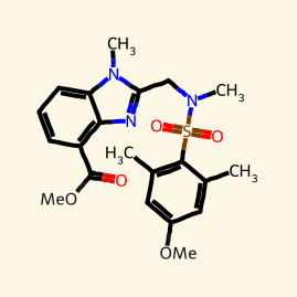 COC(=O)c1cccc2c1nc(CN(C)S(=O)(=O)c1c(C)cc(OC)cc1C)n2C